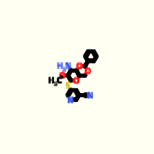 COC1C(Sc2cncc(C#N)c2)OC2COC(c3ccccc3)OC2C1N